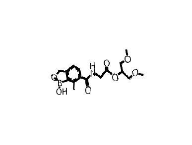 COCC(COC)OC(=O)CNC(=O)c1ccc2c(c1C)B(O)OC2